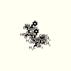 CC[C@H](C)[C@H](NC(=O)[C@H](C)NC(=O)[C@H](Cc1ccccc1)NC(=O)[C@H](CCC(=O)O)NC(=O)[C@H](CCC(N)=O)NC(=O)[C@@H](N)Cc1ccccc1)C(=O)N[C@@H](CC(C)C)C(=O)N[C@H](C(=O)O)C(C)C